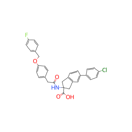 O=C(Cc1ccc(OCc2ccc(F)cc2)cc1)NC1(C(=O)O)Cc2ccc(-c3ccc(Cl)cc3)cc2C1